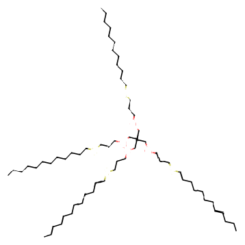 CCCCCCCCCCCCSCCCOCC(COCCCSCCCCCCCCCCCC)(COCCCSCCCCCCCCCCCC)COCCCSCCCCCCCCCCCC